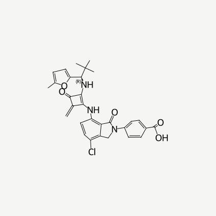 C=C1C(=O)C(N[C@@H](c2ccc(C)o2)C(C)(C)C)=C1Nc1ccc(Cl)c2c1C(=O)N(c1ccc(C(=O)O)cc1)C2